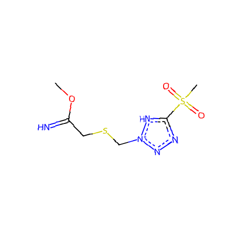 COC(=N)CSC[n+]1nnc(S(C)(=O)=O)[nH]1